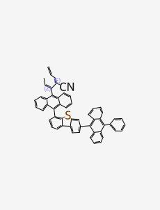 C=C/C=C(C#N)\C(=C/C)c1c2ccccc2c(-c2cccc3c2sc2cc(-c4c5ccccc5c(-c5ccccc5)c5ccccc45)ccc23)c2ccccc12